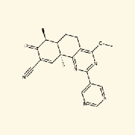 COc1nc(-c2cncnc2)nc2c1CCC1[C@H](C)C(=O)C(C#N)=C[C@]21C